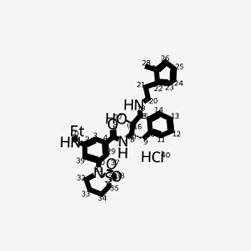 CCNc1cc(C(=O)N[C@@H](Cc2ccccc2)[C@H](O)CNCCc2ccccc2C)cc(N2CCCCS2(=O)=O)c1.Cl